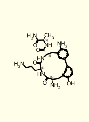 C[C@H](NC(=O)[C@@H]1Cc2cc(ccc2N)-c2ccc(O)c(c2)C[C@H](N)C(=O)N[C@@H](CCCN)C(=O)N1)C(N)=O